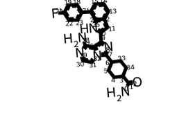 NC(=O)C1CCC(c2nc(-c3cc4cccc(-c5ccc(F)cc5)c4[nH]3)c3c(N)nccn23)CC1